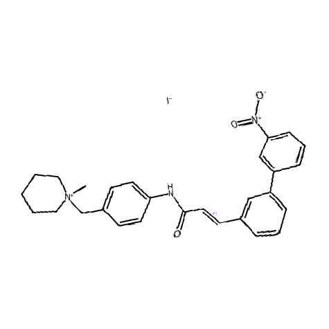 C[N+]1(Cc2ccc(NC(=O)/C=C/c3cccc(-c4cccc([N+](=O)[O-])c4)c3)cc2)CCCCC1.[I-]